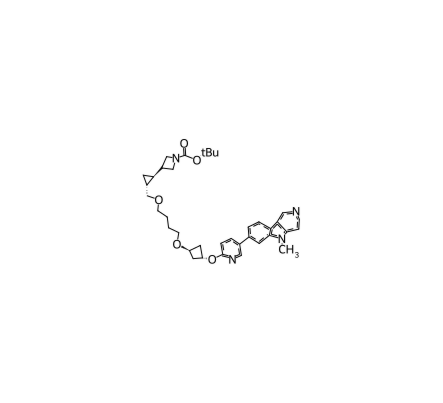 Cn1c2ccncc2c2ccc(-c3ccc(O[C@H]4C[C@H](OCCCCOC[C@@H]5C[C@H]5C5CN(C(=O)OC(C)(C)C)C5)C4)nc3)cc21